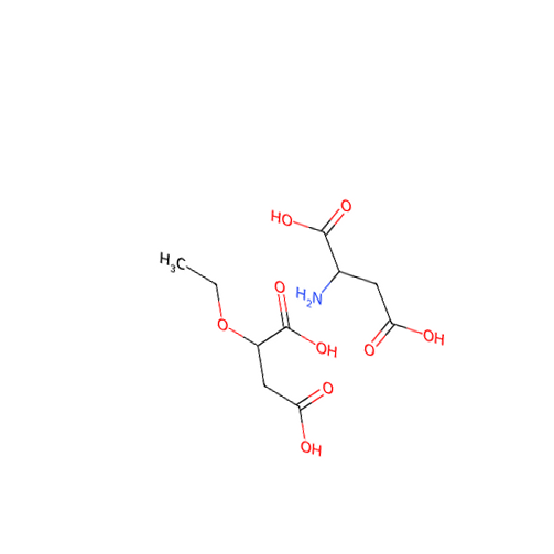 CCOC(CC(=O)O)C(=O)O.NC(CC(=O)O)C(=O)O